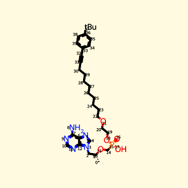 C[C@H](Cn1cnc2c(N)ncnc21)OCP(=O)(O)OCCOCCCCCCCCCC#Cc1ccc(C(C)(C)C)cc1